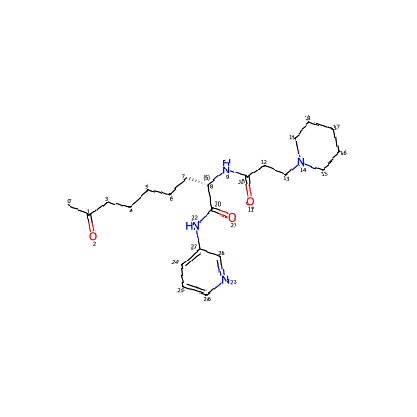 CC(=O)CCCCC[C@H](NC(=O)CCN1CCCCC1)C(=O)Nc1cccnc1